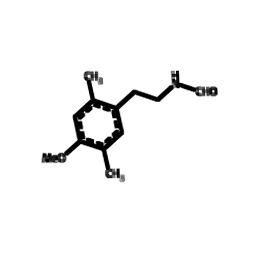 COc1cc(C)c(CCNC=O)cc1C